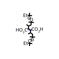 CCC(C)(C)OOC(C)(C)CC(C)/C(C(=O)O)=C(\C(=O)O)C(C)CC(C)(C)OOC(C)(C)CC